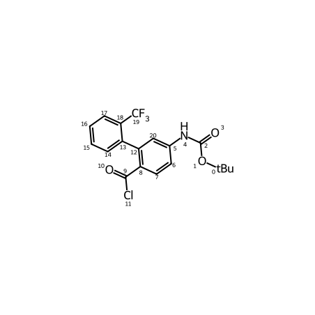 CC(C)(C)OC(=O)Nc1ccc(C(=O)Cl)c(-c2ccccc2C(F)(F)F)c1